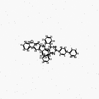 c1ccc(-c2ccc(-c3nc(-c4ccccc4)nc(-c4ccccc4-n4c5ccccc5c5cc6c(cc54)oc4ccccc46)n3)cc2)cc1